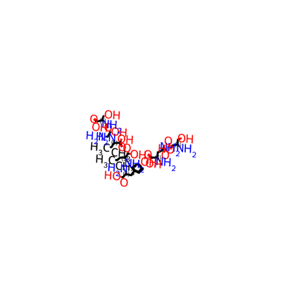 CC(C)C[C@H](N)C(=O)O.CC(C)[C@H](N)C(=O)O.NC(=O)C[C@H](N)C(=O)O.NCC(=O)O.N[C@@H](CO)C(=O)O.N[C@@H](CO)C(=O)O.N[C@@H](Cc1ccc(O)cc1)C(=O)O